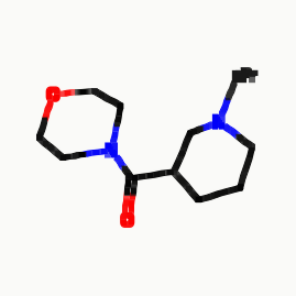 CCCN1CCCC(C(=O)N2CCOCC2)C1